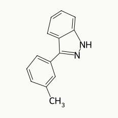 Cc1cccc(-c2n[nH]c3ccccc23)c1